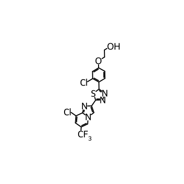 OCCOc1ccc(-c2nnc(-c3cn4cc(C(F)(F)F)cc(Cl)c4n3)s2)c(Cl)c1